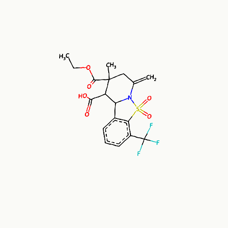 C=C1CC(C)(C(=O)OCC)C(C(=O)O)C2c3cccc(C(F)(F)F)c3S(=O)(=O)N12